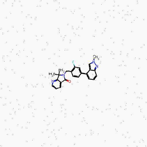 BC1(B)c2ncccc2C(=O)N1Cc1ccc(-c2cccc3nn(C)cc23)cc1F